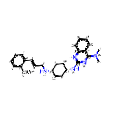 COc1ccccc1/C=C/CN[C@H]1CC[C@@H](Nc2nc(N(C)C)c3ccccc3n2)CC1